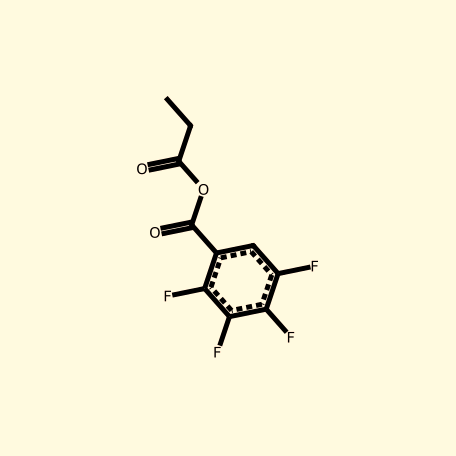 CCC(=O)OC(=O)c1cc(F)c(F)c(F)c1F